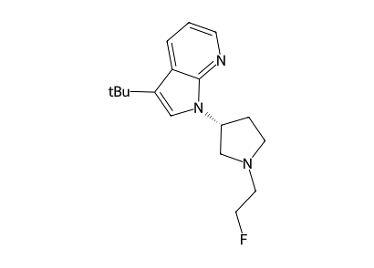 CC(C)(C)c1cn([C@@H]2CCN(CCF)C2)c2ncccc12